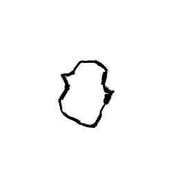 [C]1=C/C=C\CC\C=C/C=C/C=C/CC/1